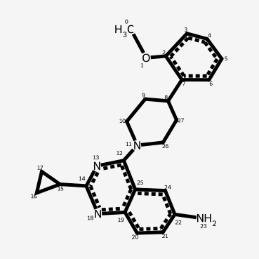 COc1ccccc1C1CCN(c2nc(C3CC3)nc3ccc(N)cc23)CC1